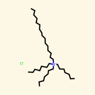 CCCCCCCCCCCCCCCC[N+](CCCCCCC)(CCCCCCC)CCCCCCC.[Cl-]